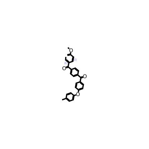 C=C(/C=C\C(=C/C)C(=O)c1ccc(C(=O)c2ccc(Oc3ccc(C)cc3)cc2)cc1)OC